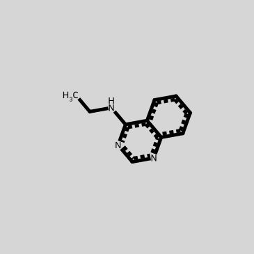 CCNc1ncnc2ccccc12